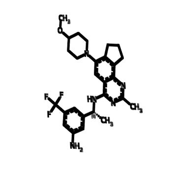 COC1CCN(c2cc3c(N[C@H](C)c4cc(N)cc(C(F)(F)F)c4)nc(C)nc3c3c2CCC3)CC1